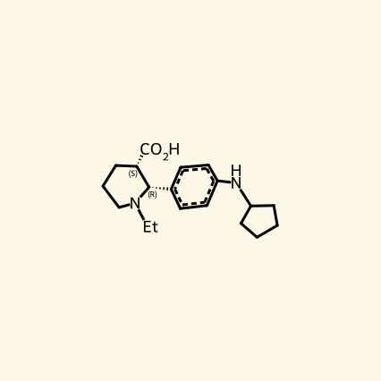 CCN1CCC[C@H](C(=O)O)[C@@H]1c1ccc(NC2CCCC2)cc1